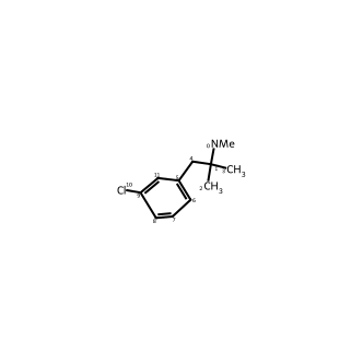 CNC(C)(C)Cc1cccc(Cl)c1